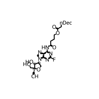 C#C[C@]1(CO)OC[C@@H](n2cnc3c(NC(=O)CCCOC(=O)CCCCCCCCCCC)nc(F)nc32)[C@@H]1O